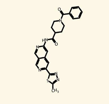 Cc1nnc(-c2cc3cc(NC(=O)C4CCN(C(=O)c5ccccc5)CC4)ncc3cn2)s1